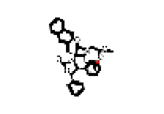 COC(=O)CN1C(=O)[C@](Cc2ccc3ccccc3c2)(N2C(=O)O[C@H](c3ccccc3)[C@@H]2c2ccccc2)[C@H]1CC(C)C